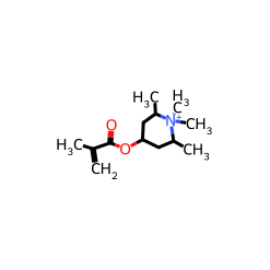 C=C(C)C(=O)OC1CC(C)[N+](C)(C)C(C)C1